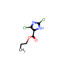 CCCOC(=O)c1[nH]c(Cl)nc1Cl